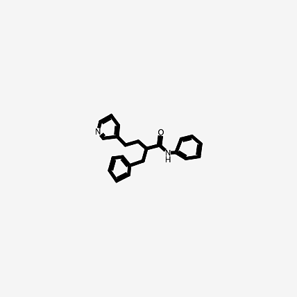 O=C(Nc1ccccc1)C(CCc1cccnc1)Cc1ccccc1